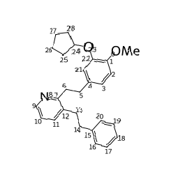 COc1ccc(CCc2ncccc2CCc2ccccc2)cc1OC1CCCC1